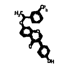 CC(Oc1ccc2c(=O)c(-c3ccc(O)cc3)coc2c1)c1cccc(C(F)(F)F)c1